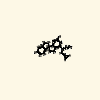 CCCN(CC1CC1)c1nc(C)nc2c1CCC21CCc2ccccc21